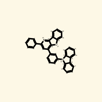 c1ccc(-c2cc(-c3cccc(-n4c5ccccc5c5ccccc54)c3)c3oc4ccccc4c3n2)cc1